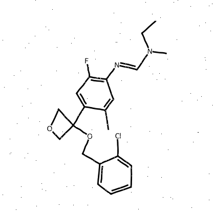 CCN(C)C=Nc1cc(C)c(C2(OCc3ccccc3Cl)COC2)cc1F